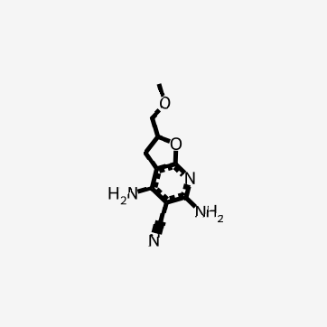 COCC1Cc2c(nc(N)c(C#N)c2N)O1